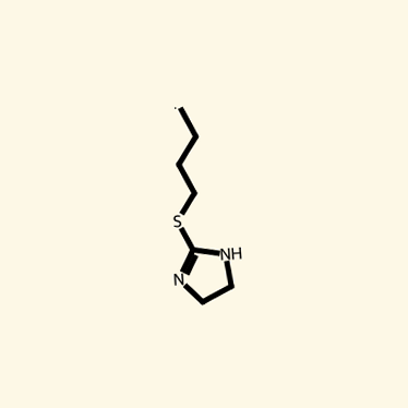 [CH2]CCCSC1=NCCN1